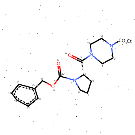 CCOC(=O)N1CCN(C(=O)[C@@H]2CCCN2C(=O)OCc2ccccc2)CC1